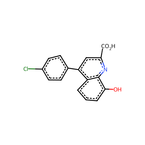 O=C(O)c1cc(-c2ccc(Cl)cc2)c2cccc(O)c2n1